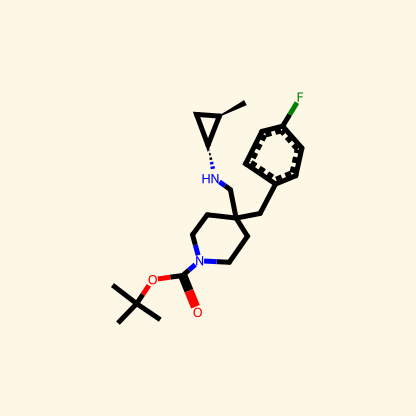 C[C@@H]1C[C@H]1NCC1(Cc2ccc(F)cc2)CCN(C(=O)OC(C)(C)C)CC1